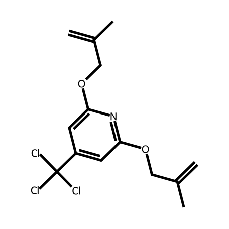 C=C(C)COc1cc(C(Cl)(Cl)Cl)cc(OCC(=C)C)n1